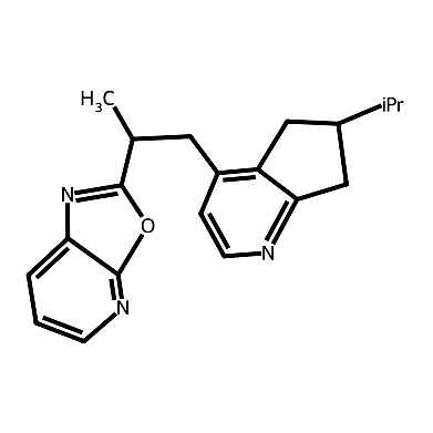 CC(Cc1ccnc2c1CC(C(C)C)C2)c1nc2cccnc2o1